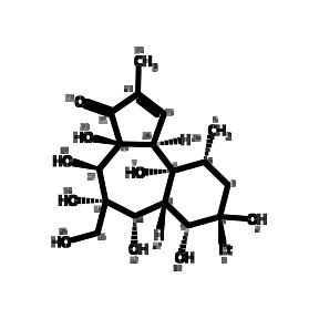 CC[C@]1(O)C[C@@H](C)[C@@]2(O)[C@H]([C@H]1O)[C@H](O)[C@@](O)(CO)[C@@H](O)[C@]1(O)C(=O)C(C)=C[C@H]12